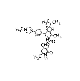 Cc1cc(C)c(CNC(=O)c2cc(-c3ccc(N4CCN(C)CC4)nc3)c3sc(C(C)C)nc3c2C)c(=O)[nH]1